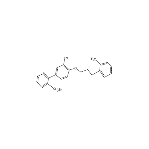 CCOC(=O)c1cccnc1-c1ccc(OCCCc2ccccc2C(F)(F)F)c(C#N)c1